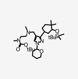 CN(CCN(C)C(=O)OC(C)(C)C)Cc1cn(C2CCCCO2)nc1C1CCC(C)(C)C(O[Si](C)(C)C(C)(C)C)C1